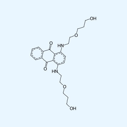 O=C1c2ccccc2C(=O)c2c(NCCOCCCO)ccc(NCCOCCCO)c21